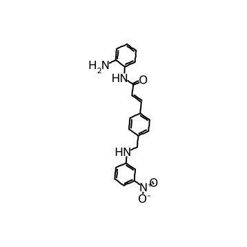 Nc1ccccc1NC(=O)C=Cc1ccc(CNc2cccc([N+](=O)[O-])c2)cc1